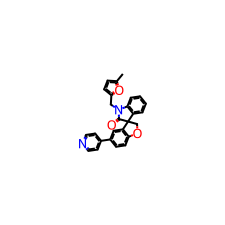 Cc1ccc(CN2C(=O)C3(COc4ccc(-c5ccncc5)cc43)c3ccccc32)o1